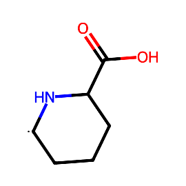 O=C(O)C1CCC[CH]N1